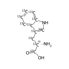 N[13C@@H]([13CH2][13c]1[13cH][nH][13c]2[13cH][13cH][13cH][13cH][13c]12)[13C](=O)O